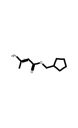 CCC/C(C)=C/C(=O)OCC1CCCC1